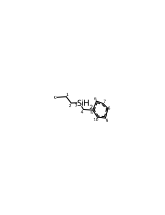 CCC[SiH2]Cc1ccccc1